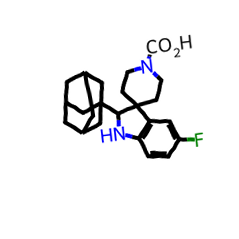 O=C(O)N1CCC2(CC1)c1cc(F)ccc1NC2C12CC3CC(CC(C3)C1)C2